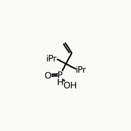 C=CC(C(C)C)(C(C)C)[PH](=O)O